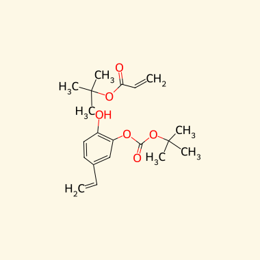 C=CC(=O)OC(C)(C)C.C=Cc1ccc(O)c(OC(=O)OC(C)(C)C)c1